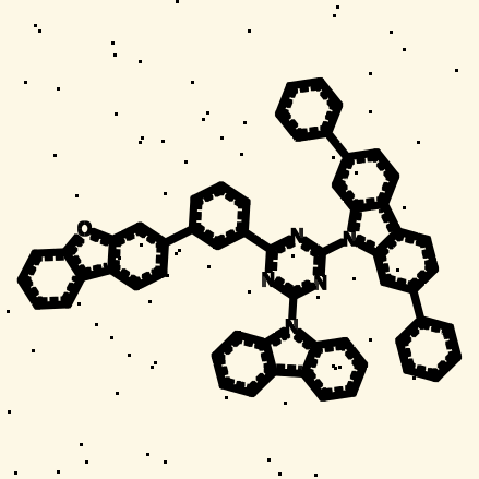 c1ccc(-c2ccc3c4ccc(-c5ccccc5)cc4n(-c4nc(-c5cccc(-c6ccc7c(c6)oc6ccccc67)c5)nc(-n5c6ccccc6c6ccccc65)n4)c3c2)cc1